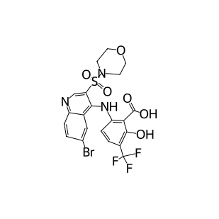 O=C(O)c1c(Nc2c(S(=O)(=O)N3CCOCC3)cnc3ccc(Br)cc23)ccc(C(F)(F)F)c1O